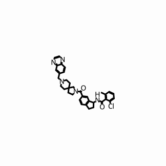 Cc1cccc(Cl)c1C(=O)NC1CCc2ccc(C(=O)N3CCC4(CCN(Cc5ccc6nccnc6c5)CC4)C3)cc21